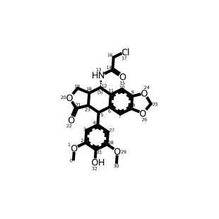 COc1cc(C2c3cc4c(cc3[C@@H](NC(=O)CCl)C3COC(=O)C23)OCO4)cc(OC)c1O